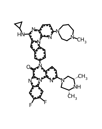 C[C@@H]1CN(c2ccc3c(n2)n2c(nc4cc(F)c(F)cc42)c(=O)n3-c2ccc3c(c2)cc2c(NC4CC4)nc4ccc(N5CCCN(C)CC5)nc4n23)C[C@H](C)N1